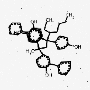 CCCCC(CC)C(CC(C)(c1ccc(O)c(-c2ccccc2)c1)c1ccc(O)c(-c2ccccc2)c1)(c1ccc(O)cc1)c1ccc(O)cc1